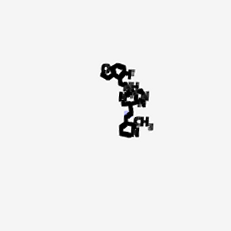 Cc1ncccc1/C=C/c1cnc(NCc2c(F)ccc3c2CCO3)n2cnnc12